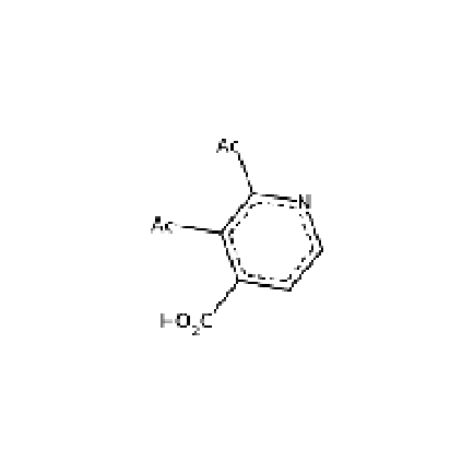 CC(=O)c1nccc(C(=O)O)c1C(C)=O